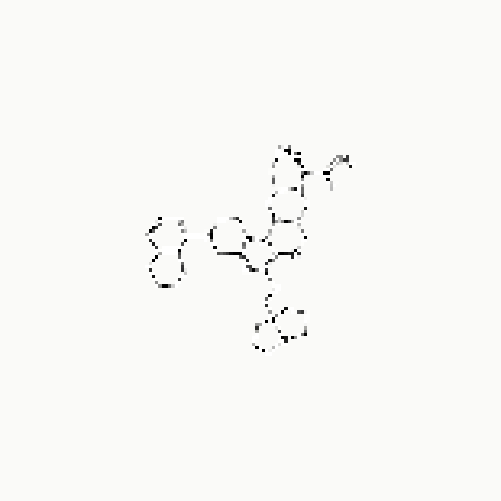 C=C(F)C(=O)N1CC2COc3c(OCC45CCCN4CCC5)nc4c(c3N2C[C@@H]1CC#N)CCN(c1cccc2c1SCCC2)C4